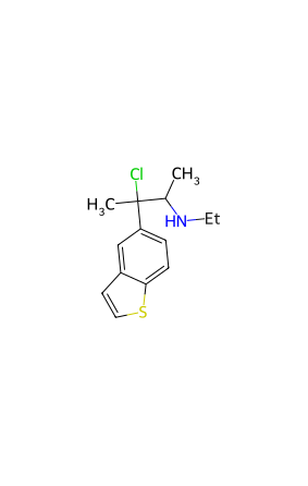 CCNC(C)C(C)(Cl)c1ccc2sccc2c1